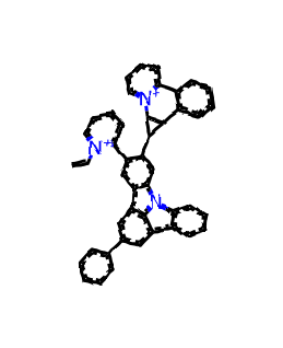 C=C[n+]1ccccc1-c1cc2c3cc(-c4ccccc4)cc4c5ccccc5n(c2cc1C1C2c5ccccc5-c5cccc[n+]5C12)c43